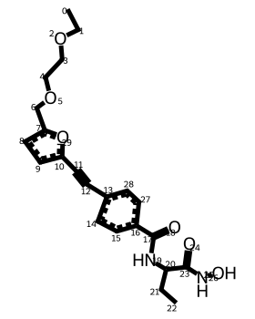 CCOCCOCc1ccc(C#Cc2ccc(C(=O)NC(CC)C(=O)NO)cc2)o1